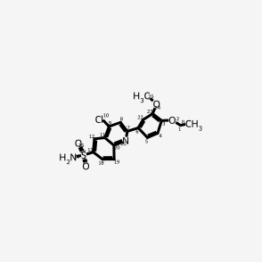 CCOc1ccc(-c2cc(Cl)c3cc(S(N)(=O)=O)ccc3n2)cc1OC